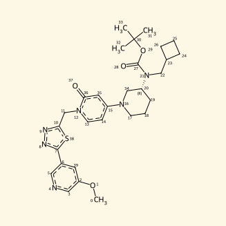 COc1cncc(-c2nnc(Cn3ccc(N4CCC[C@@H](N(CC5CCC5)C(=O)OC(C)(C)C)C4)cc3=O)s2)c1